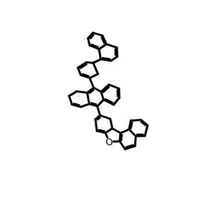 C1=CC(c2cccc3ccccc23)CC(c2c3c(c(C4=CC=C5Oc6ccc7ccccc7c6C5C4)c4ccccc24)C=CCC3)=C1